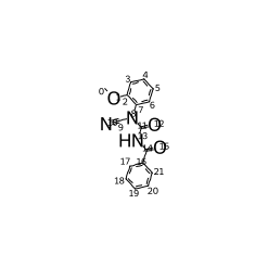 COc1ccccc1N(C#N)C(=O)NC(=O)c1ccccc1